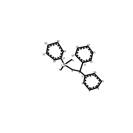 CS(C)(CC(c1ccccc1)c1ccccc1)c1ccccc1